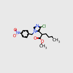 CCCCC(C(=O)OC)c1c(Cl)ncn1Cc1ccc([N+](=O)[O-])cc1